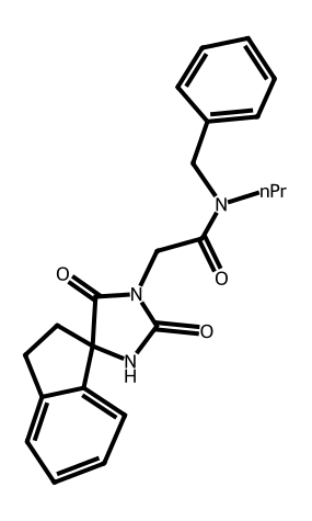 CCCN(Cc1ccccc1)C(=O)CN1C(=O)NC2(CCc3ccccc32)C1=O